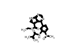 C=C(C)C(=O)Nc1cc(-c2ncnc3[nH]cc(C(=O)OCC)c23)ccc1[S+](C)[O-]